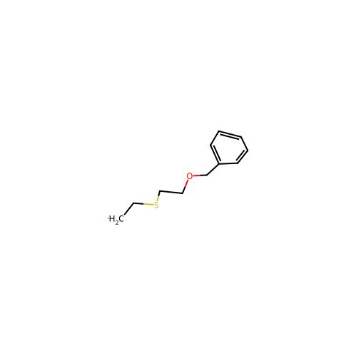 [CH2]CSCCOCc1ccccc1